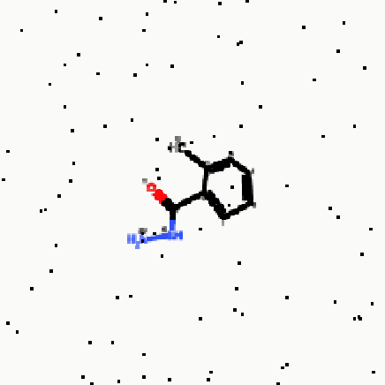 [CH]c1ccccc1C(=O)NN